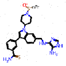 CCC[S+]([O-])N1CCC(n2cc(-c3cccc(C(N)=S)c3)c3ccc(CNc4nc[nH]c4N)cc32)CC1